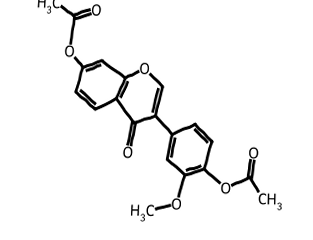 COc1cc(-c2coc3cc(OC(C)=O)ccc3c2=O)ccc1OC(C)=O